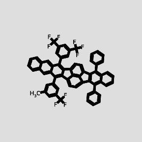 Cc1cc(-c2c3c(c(-c4cc(C(F)(F)F)cc(C(F)(F)F)c4)c4cc5ccccc5cc24)-c2ccc4c5c(ccc-3c25)-c2c-4c(-c3ccccc3)c3ccccc3c2-c2ccccc2)cc(C(F)(F)F)c1